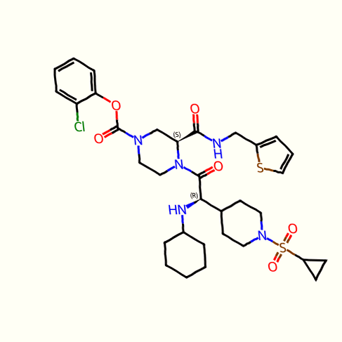 O=C(NCc1cccs1)[C@@H]1CN(C(=O)Oc2ccccc2Cl)CCN1C(=O)[C@H](NC1CCCCC1)C1CCN(S(=O)(=O)C2CC2)CC1